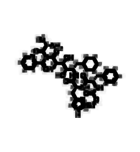 CC[C@H](C)[C@H](N)C(=O)N(C(=O)c1ccccn1)C(=O)[C@H](C(C)C)[C@@H](O)[C@H](O)[C@H](CC1CCCCC1)NC(=O)[C@H](Cc1c[nH]cn1)NC(=O)[C@H](Cc1ccccc1)NC(=O)OC(C)(C)C